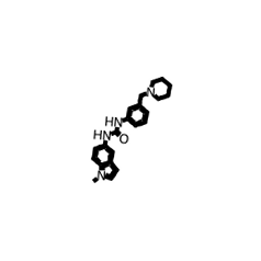 Cn1ccc2cc(NC(=O)Nc3cccc(CN4CCCCC4)c3)ccc21